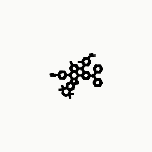 Cc1cc2c3c(c1)N(c1ccc(C(C)(C)C)cc1)c1c(oc4cc5c(cc14)C(C)(C)CCC5(C)C)B3c1ccc(N(c3ccccc3)c3ccccc3)cc1N2c1ccc(C(C)(C)C)cc1C